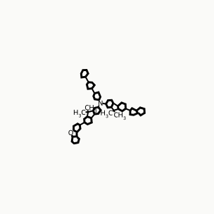 CC1(C)c2cc(-c3ccc4ccccc4c3)ccc2-c2ccc(N(c3ccc(-c4ccc(-c5ccccc5)cc4)cc3)c3ccc4c(c3)C(C)(C)c3cc(-c5ccc6oc7ccccc7c6c5)ccc3-4)cc21